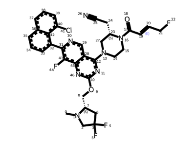 CN1CC(F)(F)C[C@H]1COc1nc(N2CCN(C(=O)/C=C/CF)[C@@H](CC#N)C2)c2cnc(-c3cccc4cccc(Cl)c34)c(F)c2n1